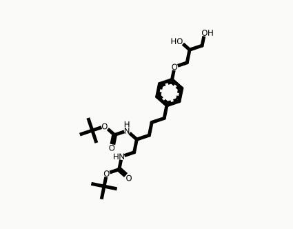 CC(C)(C)OC(=O)NCC(CCCc1ccc(OCC(O)CO)cc1)NC(=O)OC(C)(C)C